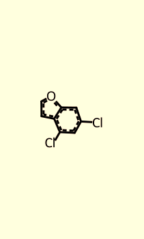 Clc1cc(Cl)c2ccoc2c1